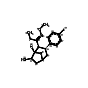 CCC(=NOC)[C@@H]1[C@@H]2SC(CC2O)C[C@H]1c1ccc(I)cc1